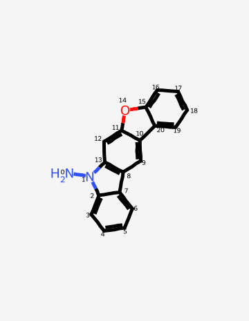 Nn1c2ccccc2c2cc3c(cc21)oc1ccccc13